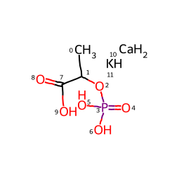 CC(OP(=O)(O)O)C(=O)O.[CaH2].[KH]